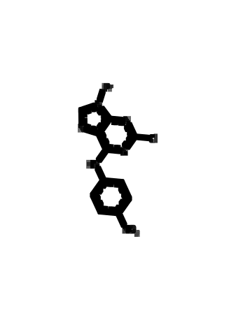 CC(C)n1cnc2c(Nc3ccc([N+](=O)[O-])cc3)nc(Cl)nc21